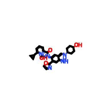 N=C1C=C(c2ncco2)C(NC(=O)c2cccc(C3CC3)[n+]2O)=C/C1=C/N[C@H]1CC[C@H](O)CC1